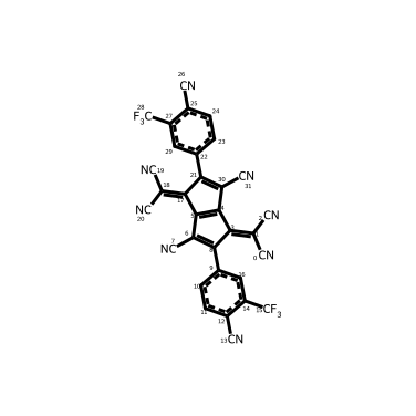 N#CC(C#N)=C1C2=C(C(C#N)=C1c1ccc(C#N)c(C(F)(F)F)c1)C(=C(C#N)C#N)C(c1ccc(C#N)c(C(F)(F)F)c1)=C2C#N